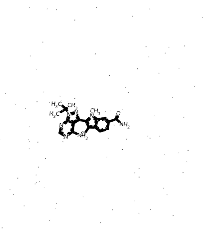 Cn1c(-c2nn(C(C)(C)C)c3ncnc(N)c23)c(Cl)c2ccc(C(N)=O)cc21